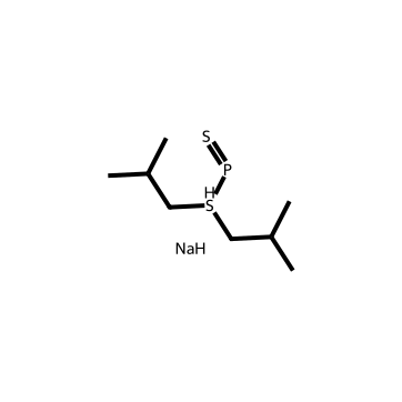 CC(C)C[SH](CC(C)C)P=S.[NaH]